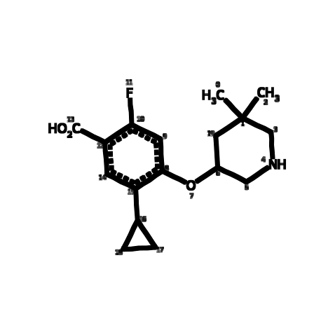 CC1(C)CNCC(Oc2cc(F)c(C(=O)O)cc2C2CC2)C1